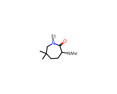 CCN1CC(C)(C)CCC(NC)C1=O